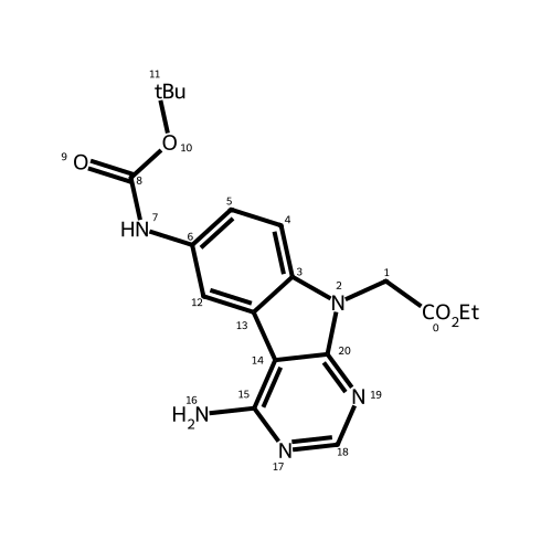 CCOC(=O)Cn1c2ccc(NC(=O)OC(C)(C)C)cc2c2c(N)ncnc21